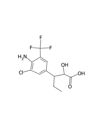 CCC(c1cc(Cl)c(N)c(C(F)(F)F)c1)C(O)C(=O)O